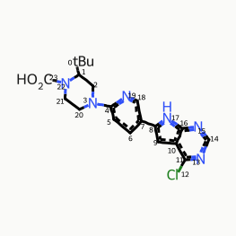 CC(C)(C)C1CN(c2ccc(-c3cc4c(Cl)ncnc4[nH]3)cn2)CCN1C(=O)O